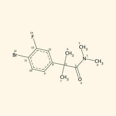 CN(C)C(=O)C(C)(C)c1ccc(Br)c(F)c1